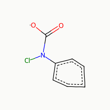 [O]C(=O)N(Cl)c1ccccc1